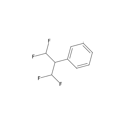 FC(F)C(c1c[c]ccc1)C(F)F